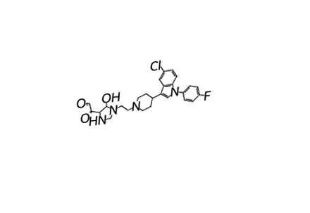 O=CC(=O)C1NCN(CCN2CCC(c3cn(-c4ccc(F)cc4)c4ccc(Cl)cc34)CC2)C1O